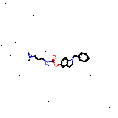 CN(C)CCCNC(=O)Oc1ccc2c(c1)CCN2Cc1ccccc1